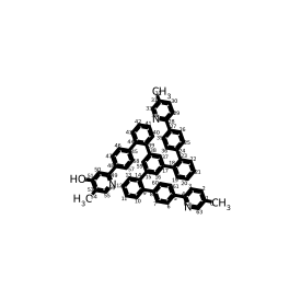 Cc1ccc(-c2ccc(-c3ccccc3-c3cc(-c4ccccc4-c4ccc(-c5ccc(C)cn5)cc4)cc(-c4ccccc4-c4ccc(-c5cc(O)c(C)cn5)cc4)c3)cc2)nc1